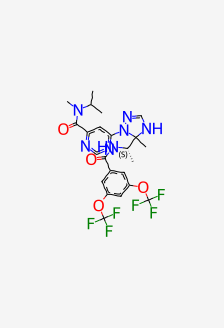 CC(C)N(C)C(=O)c1cc(N2N=CNC2(C)[C@H](C)NC(=O)c2cc(OC(F)(F)F)cc(OC(F)(F)F)c2)ncn1